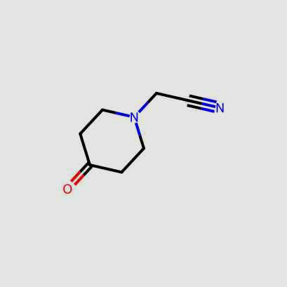 N#CCN1CCC(=O)CC1